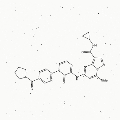 CNc1cc(Nc2cccn(-c3ccc(C(=O)N4CCCC4)cn3)c2=O)nc2c(C(=O)NC3CC3)cnn12